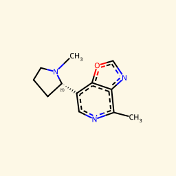 Cc1ncc([C@@H]2CCCN2C)c2ocnc12